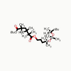 CCCC[Si](C)(C)O[Si](C)(C)O[Si](C)(C)CCCOC(=O)C(C)(C)C(C)(C)CC(C)(CC)C(=O)OCC(C)C